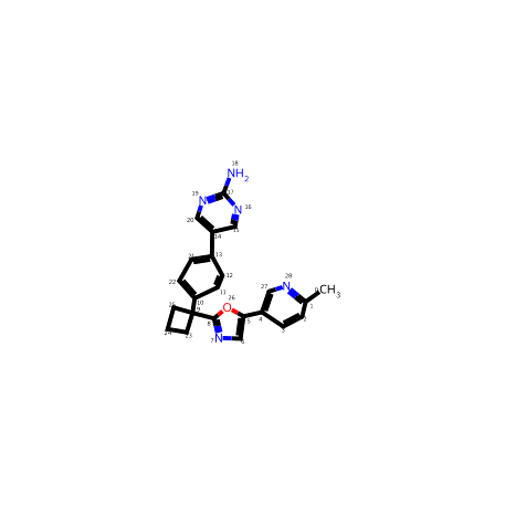 Cc1ccc(-c2cnc(C3(c4ccc(-c5cnc(N)nc5)cc4)CCC3)o2)cn1